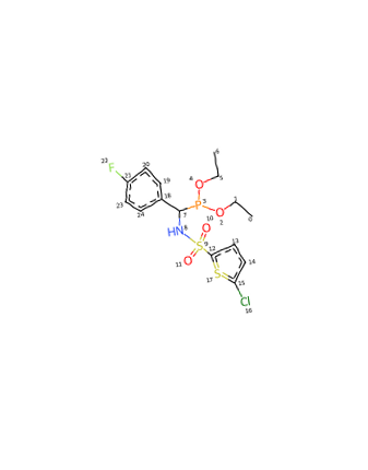 CCOP(OCC)C(NS(=O)(=O)c1ccc(Cl)s1)c1ccc(F)cc1